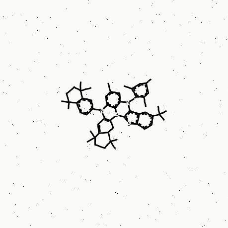 Cc1cc(C)c(N2c3cc(C)cc4c3B(C3=C(C=C5C(C3)C(C)(C)CCC5(C)C)N4c3ccc4c(c3)C(C)(C)CCC4(C)C)c3sc4ccc(C(C)(C)C)cc4c32)c(C)c1